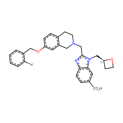 O=C(O)c1ccc2nc(CN3CCc4ccc(OCc5ccccc5F)cc4C3)n(C[C@@H]3CCO3)c2c1